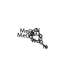 COc1cc2c3cc1Oc1c(OC)c(OC)cc4c1C(Cc1ccc(OCCCN5CCCC5)c(c1)Oc1ccc(cc1)CC3N(C)CC2)N(C)CC4